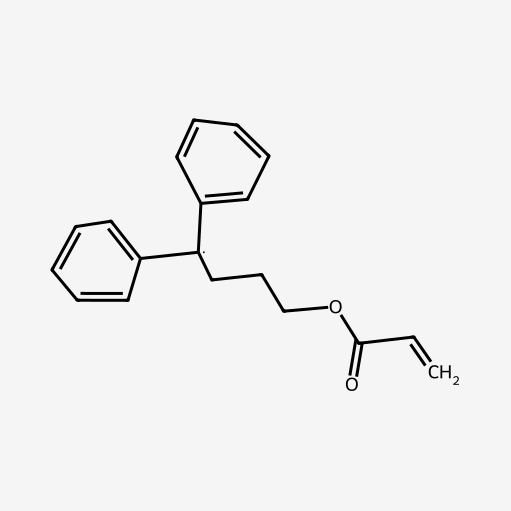 C=CC(=O)OCCC[C](c1ccccc1)c1ccccc1